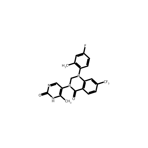 Cc1cc(F)ccc1N1CN(c2cnc(=O)[nH]c2C)C(=O)c2ccc(C(F)(F)F)cc21